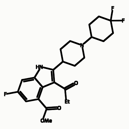 CCC(=O)c1c(C2CCN(C3CCC(F)(F)CC3)CC2)[nH]c2cc(F)cc(C(=O)OC)c12